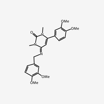 COc1ccc(CN=c2cc(-c3ccc(OC)c(OC)c3)n(C)c(=O)n2C)cc1OC